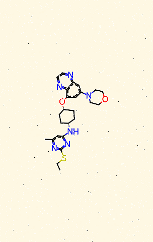 CCSc1nc(C)cc(N[C@H]2CC[C@@H](Oc3cc(N4CCOCC4)cc4nccnc34)CC2)n1